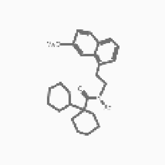 COc1ccc2cccc(CCN(C(C)=O)C(=O)C3(C4CCCCC4)CCCCC3)c2c1